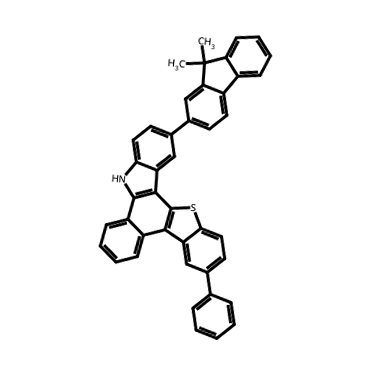 CC1(C)c2ccccc2-c2ccc(-c3ccc4[nH]c5c6ccccc6c6c7cc(-c8ccccc8)ccc7sc6c5c4c3)cc21